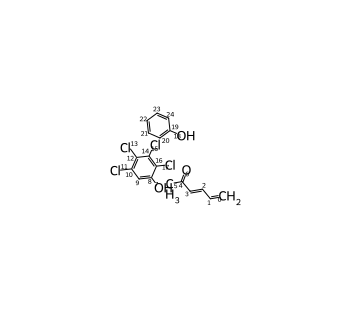 C=CC=CC(C)=O.Oc1cc(Cl)c(Cl)c(Cl)c1Cl.Oc1ccccc1